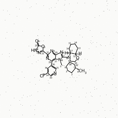 C[C@H]1CC[C@H](Cn2c(N3CCO[C@@H]4CCCC[C@@H]43)nc3nc(-c4n[nH]c(=O)o4)nc(-c4cncc(Cl)c4)c32)CC1